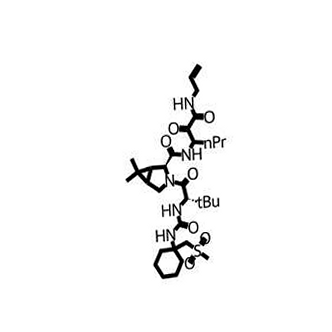 C=CCNC(=O)C(=O)C(CCC)NC(=O)[C@@H]1C2C(CN1C(=O)[C@@H](NC(=O)NC1(CS(C)(=O)=O)CCCCC1)C(C)(C)C)C2(C)C